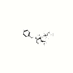 CC1(C)OC[C@H]2OC[C@@H](OCc3ccccc3)[C@H]2O1